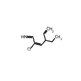 C=CC(/C=C(/Cl)C=N)CC